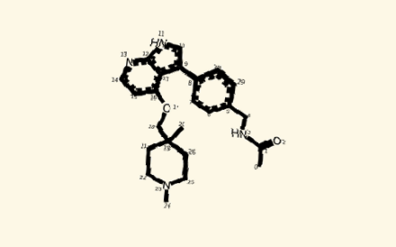 CC(=O)NCc1ccc(-c2c[nH]c3nccc(OCC4(C)CCN(C)CC4)c23)cc1